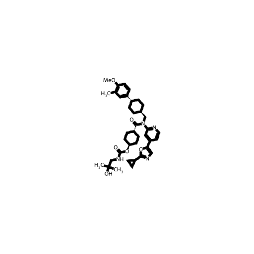 COc1ccc([C@H]2CC[C@H](CN(c3cc(-c4cnc(C5CC5)o4)ccn3)C(=O)[C@H]3CC[C@H](OC(=O)NCC(C)(C)O)CC3)CC2)cc1C